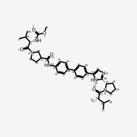 COC(=O)N[C@H](C(=O)N1CCC(C(=O)Nc2ccc(-c3ccc(-c4cnc([C@@H]5CCCN5C(=O)[C@@H](C)C(C)C)[nH]4)cc3)cc2)C1)C(C)C